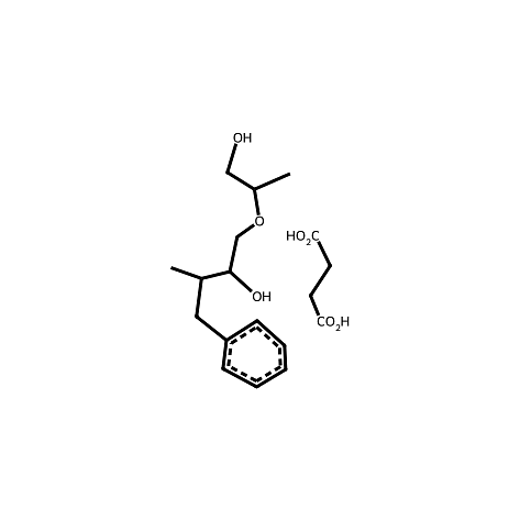 CC(CO)OCC(O)C(C)Cc1ccccc1.O=C(O)CCC(=O)O